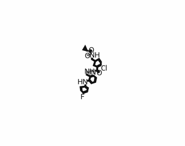 N=Cc1c(NC(=O)C2=C(Cl)C=CC(CNS(=O)(=O)C3CC3)C2)cccc1Nc1ccc(F)cc1